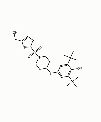 CC(C)(C)c1cc(SC2CCN(S(=O)(=O)c3nc(CO)cs3)CC2)cc(C(C)(C)C)c1O